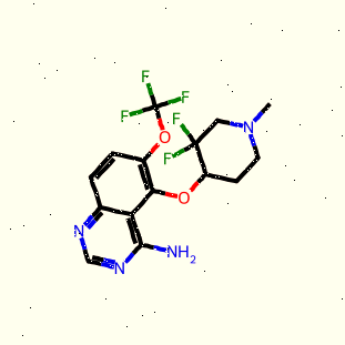 CN1CCC(Oc2c(OC(F)(F)F)ccc3ncnc(N)c23)C(F)(F)C1